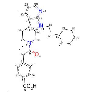 O=C(O)c1ccc(CC(=O)N2CCc3c(n(CCC4CCCCC4)c4ncccc34)C2)cc1